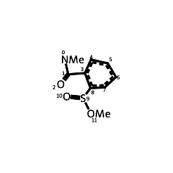 CNC(=O)c1ccccc1S(=O)OC